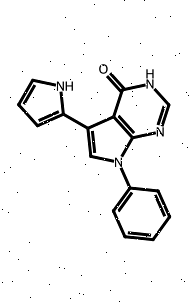 O=c1[nH]cnc2c1c(-c1ccc[nH]1)cn2-c1ccccc1